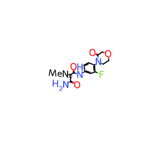 CN[C@@H](C(N)=O)C(=O)Nc1ccc(N2CCOCC2=O)c(F)c1